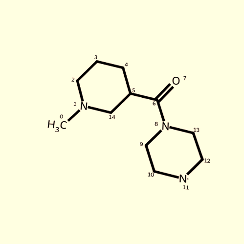 CN1CCCC(C(=O)N2CC[N]CC2)C1